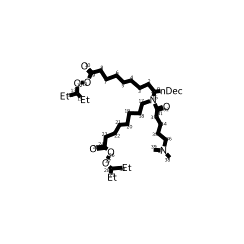 CCCCCCCCCCC(CCCCCCCC(=O)OOC(CC)CC)N(CCCCCCCC(=O)OOC(CC)CC)C(=O)CCCCN(C)C